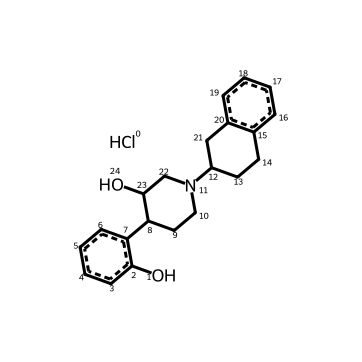 Cl.Oc1ccccc1C1CCN(C2CCc3ccccc3C2)CC1O